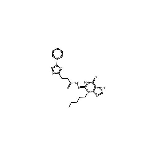 CCCCCn1/c(=N/NC(=O)CCc2nnc(-c3ccccc3)o2)[nH]c(=O)c2[nH]cnc21